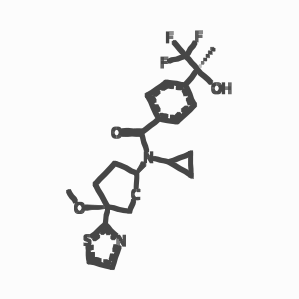 CO[C@]1(c2nccs2)CC[C@H](N(C(=O)c2ccc([C@](C)(O)C(F)(F)F)cc2)C2CC2)CC1